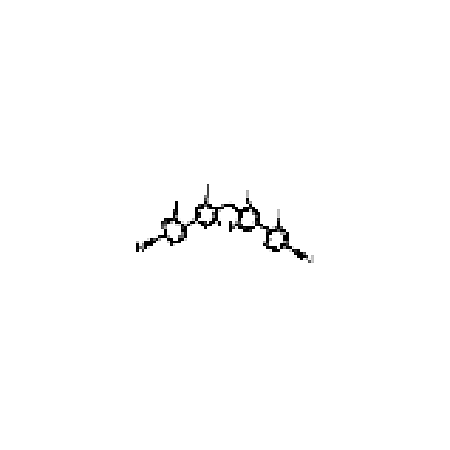 N#Cc1ccc(-c2cc(I)c(Cc3c(I)cc(-c4ccc(C#N)cc4I)cc3I)c(I)c2)c(I)c1